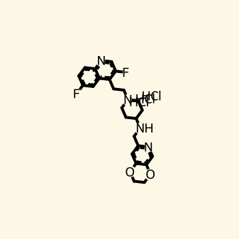 Cl.Cl.Cl.Fc1ccc2ncc(F)c(CCN3CCC(NCc4cc5c(cn4)OCCO5)CC3)c2c1